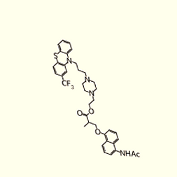 CC(=O)Nc1cccc2c(OCC(C)C(=O)OCCN3CCN(CCCN4c5ccccc5Sc5ccc(C(F)(F)F)cc54)CC3)cccc12